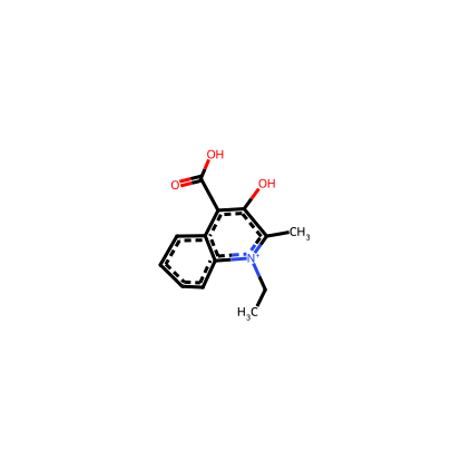 CC[n+]1c(C)c(O)c(C(=O)O)c2ccccc21